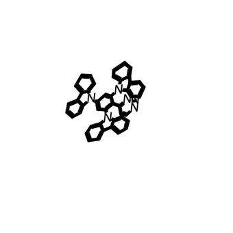 c1ccc2c(c1)c1ccccc1n2-c1cc(-n2c3ccccc3c3ccccc32)c(-c2ccnnn2)c(-n2c3ccccc3c3ccccc32)c1